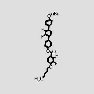 C=CCCCOc1ccc(C(=O)Oc2ccc(-c3ccc(-c4ccc(OCCCC)cc4)c(F)c3F)cc2)c(F)c1F